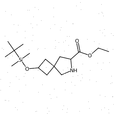 CCOC(=O)C1CC2(CN1)CC(O[Si](C)(C)C(C)(C)C)C2